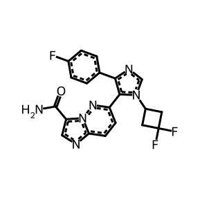 NC(=O)c1cnc2ccc(-c3c(-c4ccc(F)cc4)ncn3C3CC(F)(F)C3)nn12